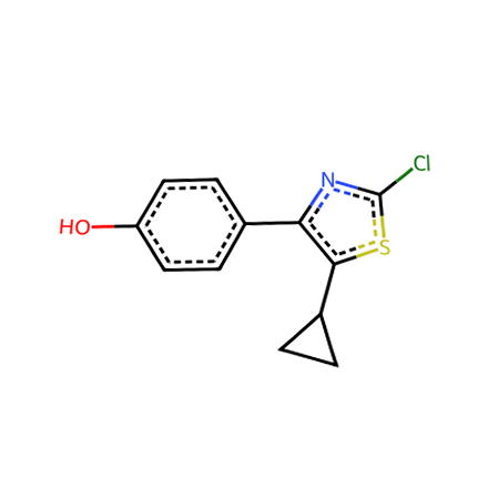 Oc1ccc(-c2nc(Cl)sc2C2CC2)cc1